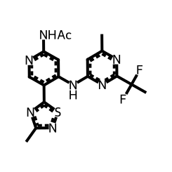 CC(=O)Nc1cc(Nc2cc(C)nc(C(C)(F)F)n2)c(-c2nc(C)ns2)cn1